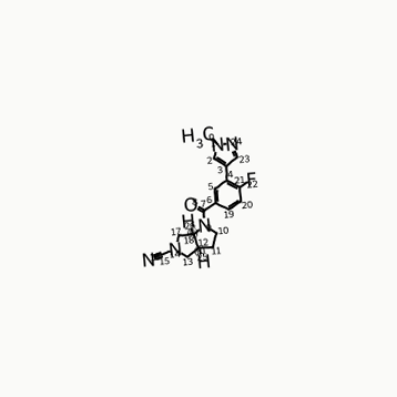 Cn1cc(-c2cc(C(=O)N3CC[C@@H]4CN(C#N)C[C@@H]43)ccc2F)cn1